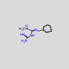 CNC(=NCc1ccccc1)NC(=N)N